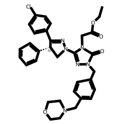 CCOC(=O)Cn1c(N2C[C@H](c3ccccc3)C(c3ccc(Cl)cc3)=N2)nn(Cc2ccc(CN3CCOCC3)cc2)c1=O